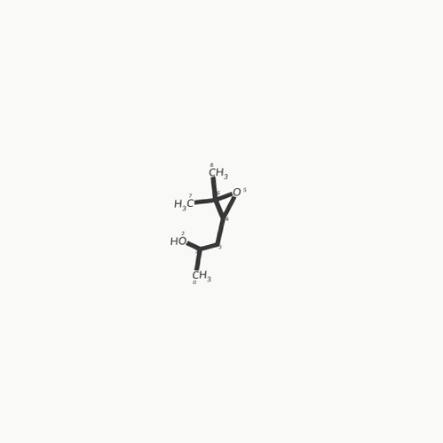 CC(O)CC1OC1(C)C